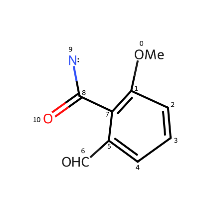 COc1cccc(C=O)c1C([N])=O